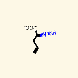 C=CCC(=[N+]=N)C(=O)[O-]